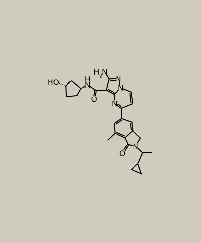 Cc1cc(-c2ccn3nc(N)c(C(=O)N[C@H]4CC[C@H](O)C4)c3n2)cc2c1C(=O)N(C(C)C1CC1)C2